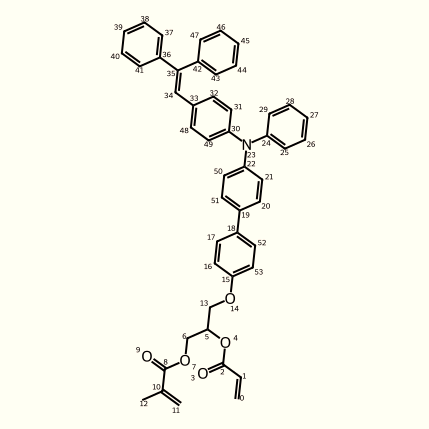 C=CC(=O)OC(COC(=O)C(=C)C)COc1ccc(-c2ccc(N(c3ccccc3)c3ccc(C=C(c4ccccc4)c4ccccc4)cc3)cc2)cc1